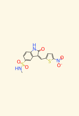 CNS(=O)(=O)c1ccc2c(c1)C(=Cc1ccc([N+](=O)[O-])s1)C(=O)N2